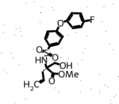 C=CC[C@@](CO)(NS(=O)(=O)c1ccc(Oc2ccc(F)cc2)cc1)C(=O)OC